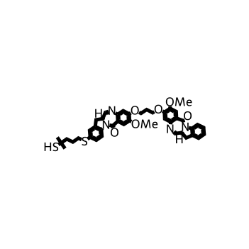 COc1cc2c(cc1OCCCOc1cc3c(cc1OC)C(=O)N1c4ccc(SCCCC(C)(C)S)cc4C[C@H]1C=N3)N=C[C@@H]1Cc3ccccc3N1C2=O